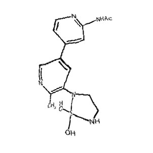 CC(=O)Nc1cc(-c2cnc(C)c(N3CCNS3(O)O)c2)ccn1